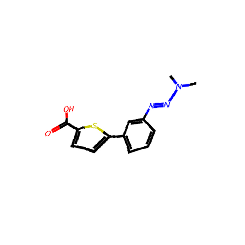 CN(C)N=Nc1cccc(-c2ccc(C(=O)O)s2)c1